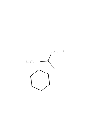 C1CCCCC1.CCCCCC(C)C(=O)O